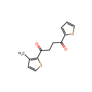 Cc1ccsc1C(=O)CCC(=O)c1cccs1